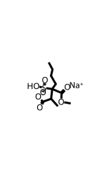 CCCCC(C(=O)OC)(C(C)C(=O)[O-])S(=O)(=O)O.[Na+]